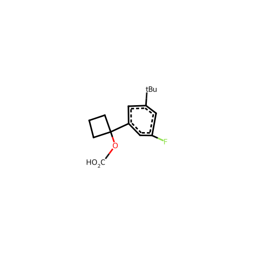 CC(C)(C)c1cc(F)cc(C2(OC(=O)O)CCC2)c1